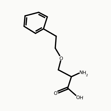 NC(COCCc1ccccc1)C(=O)O